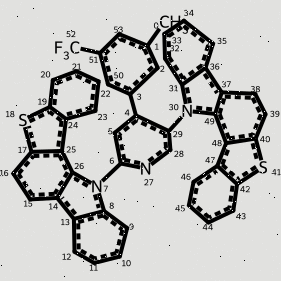 Cc1cc(-c2cc(-n3c4ccccc4c4ccc5sc6ccccc6c5c43)ncc2-n2c3ccccc3c3ccc4sc5ccccc5c4c32)cc(C(F)(F)F)c1